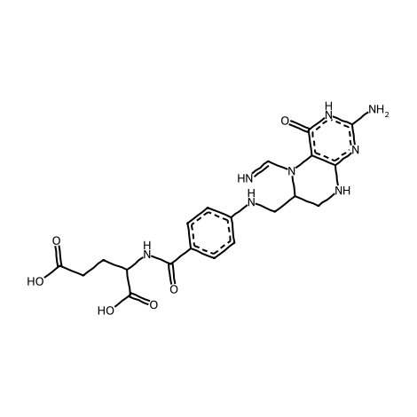 N=CN1c2c(nc(N)[nH]c2=O)NCC1CNc1ccc(C(=O)NC(CCC(=O)O)C(=O)O)cc1